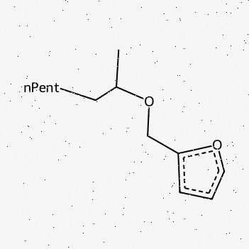 CCCCCCC(C)OCc1ccco1